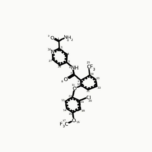 NC(=O)c1cc(NC(=O)c2c(Oc3ccc(OC(F)(F)F)cc3Cl)cccc2C(F)(F)F)ccn1